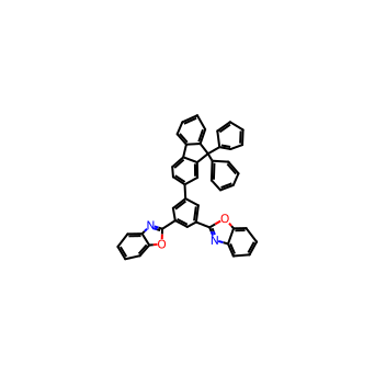 c1ccc(C2(c3ccccc3)c3ccccc3-c3ccc(-c4cc(-c5nc6ccccc6o5)cc(-c5nc6ccccc6o5)c4)cc32)cc1